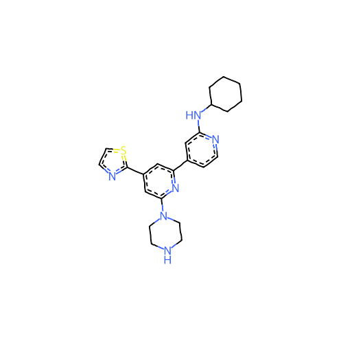 c1cc(-c2cc(-c3nccs3)cc(N3CCNCC3)n2)cc(NC2CCCCC2)n1